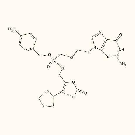 Cc1ccc(COP(=O)(COCCn2cnc3c(=O)[nH]c(N)nc32)OCc2oc(=O)oc2C2CCCC2)cc1